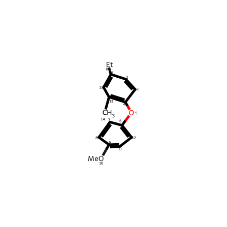 CCc1ccc(Oc2ccc(OC)cc2)c(C)c1